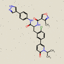 Cc1nocc1C(=O)NC(Cc1cc(-c2ccc(=O)n(C(C)C)c2)ccc1Cl)C(=O)Nc1ccc(-c2cn[nH]c2)cc1